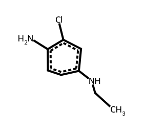 CCNc1ccc(N)c(Cl)c1